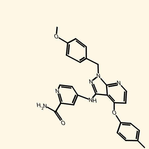 COc1ccc(Cn2nc(Nc3ccnc(C(N)=O)c3)c3c(Oc4ccc(C)cc4)ccnc32)cc1